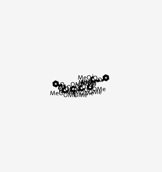 COCC1O[C@@H](O[C@H]2C(OC)C(OC)[C@@H](O[C@H]3C(OC)C(OC)[C@H](O[C@@H]4C(COCc5ccccc5)O[C@@H](C)C(OC)[C@H]4OC)O[C@H]3COC)O[C@H]2COC)C(OC)[C@@H](OC)[C@@H]1O[C@H]1OC2COC(c3ccccc3)O[C@H]2[C@H](OC)C1OC